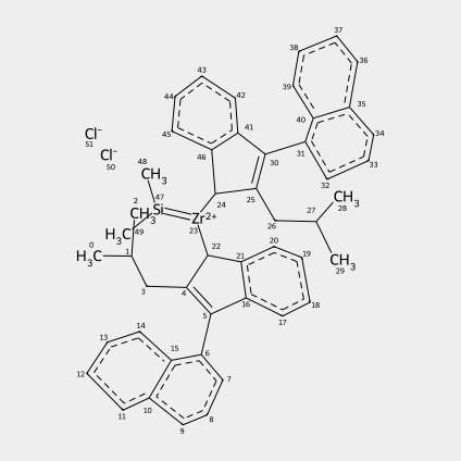 CC(C)CC1=C(c2cccc3ccccc23)c2ccccc2[CH]1[Zr+2]([CH]1C(CC(C)C)=C(c2cccc3ccccc23)c2ccccc21)=[Si](C)C.[Cl-].[Cl-]